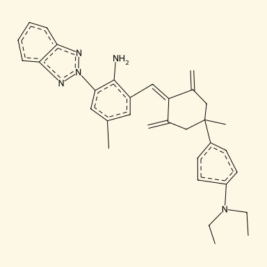 C=C1CC(C)(c2ccc(N(CC)CC)cc2)CC(=C)C1=Cc1cc(C)cc(-n2nc3ccccc3n2)c1N